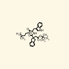 CN(C)CCNC(=O)C(Cc1c[nH]c2ccccc12)NC(=O)C1(CC(=O)OC(C)(C)C)Cc2ccccc2C1